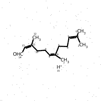 CC(C)=CCCC(C)=CCCC(C)=CC=O.[H+]